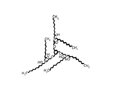 CCCCCCCCCCC(O)CN(CCCOCc1cc(COCCCN(CC(O)CCCCCCCCCC)CC(O)CCCCCCCCCC)cc(COCCCN(CC(O)CCCCCCCCCC)CC(O)CCCCCCCCCC)c1)CC(O)CCCCCCCCCC